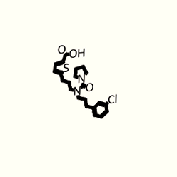 O=C(O)c1ccc(CCCN(CCCc2cccc(Cl)c2)C(=O)N2CCCC2)s1